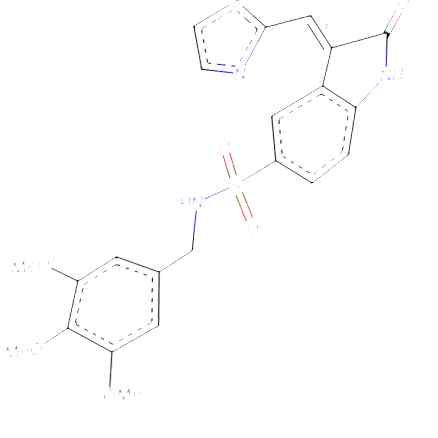 COc1cc(CNS(=O)(=O)c2ccc3c(c2)/C(=C\c2nccs2)C(=O)N3)cc(OC)c1OC